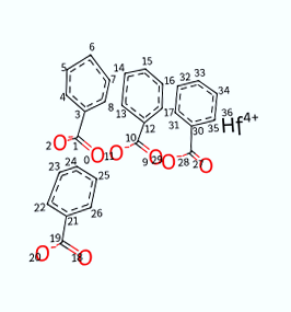 O=C([O-])c1ccccc1.O=C([O-])c1ccccc1.O=C([O-])c1ccccc1.O=C([O-])c1ccccc1.[Hf+4]